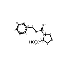 O=C(O)[C@@H]1CCCN1C(=S)CCc1ccccc1